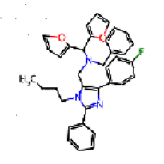 CCCCn1c(-c2ccccc2)nc(-c2ccc(F)cc2)c1CN(Cc1ccccc1)C(c1ccco1)c1ccco1